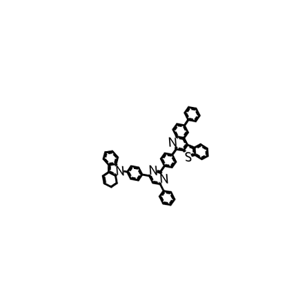 C1=Cc2c(n(-c3ccc(-c4cc(-c5ccccc5)nc(-c5ccc(-c6nc7ccc(-c8ccccc8)cc7c7c6sc6ccccc67)cc5)n4)cc3)c3ccccc23)CC1